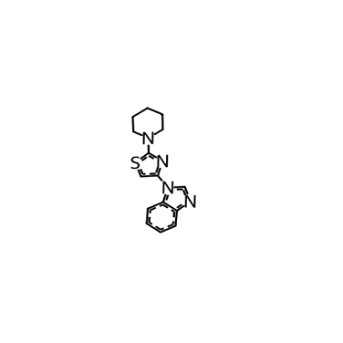 c1ccc2c(c1)ncn2-c1csc(N2CCCCC2)n1